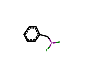 FP(F)Cc1ccccc1